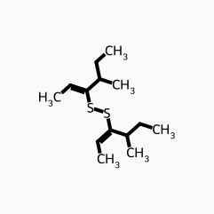 CC=C(SSC(=CC)C(C)CC)C(C)CC